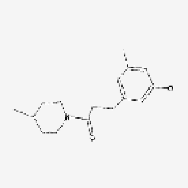 Cc1cc(Cl)cc(CCC(=O)N2CCC(C)CC2)c1